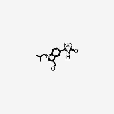 CC(C)Cn1cc(C=O)c2cc(-c3noc(=O)[nH]3)ccc21